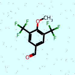 COc1c(C(F)(F)F)cc(C=O)cc1C(F)(F)F